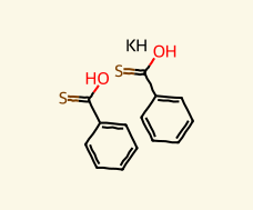 OC(=S)c1ccccc1.OC(=S)c1ccccc1.[KH]